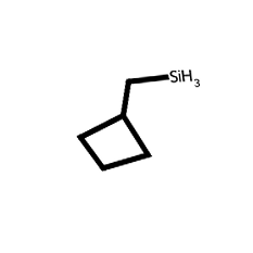 [SiH3]CC1CCC1